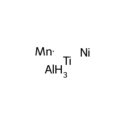 [AlH3].[Mn].[Ni].[Ti]